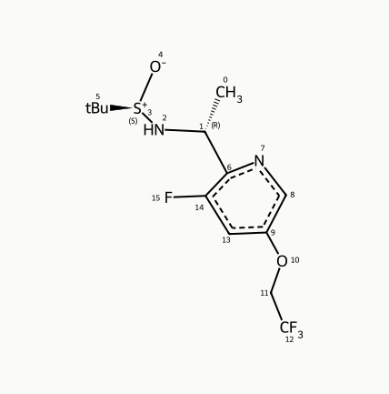 C[C@@H](N[S@+]([O-])C(C)(C)C)c1ncc(OCC(F)(F)F)cc1F